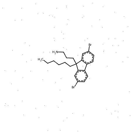 CCCCCCC1(CCCN)c2cc(Br)ccc2-c2ccc(Br)cc21